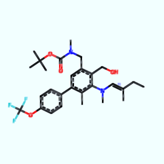 CC/C(C)=C/N(C)c1c(C)c(-c2ccc(OC(F)(F)F)cc2)cc(CN(C)C(=O)OC(C)(C)C)c1CO